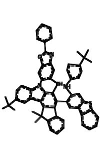 CC(C)(C)c1ccc(Nc2cc3sc4ccccc4c3cc2-c2c3c(c4c5cc(C(C)(C)C)ccc5n5c4c2Bc2cc4nc(-c6ccccc6)oc4cc2-5)C(C)(C)c2ccccc2-3)cc1